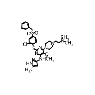 COc1c(Nc2cc(C)[nH]n2)nc(Sc2ccc(S(=O)(=O)Cc3ccccc3)cc2Cl)nc1N1CCN(CCN(C)C)CC1